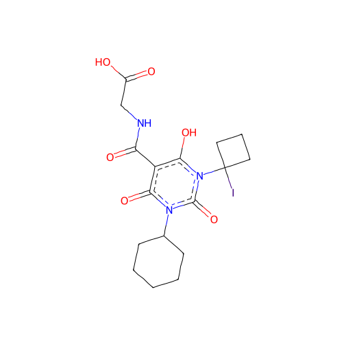 O=C(O)CNC(=O)c1c(O)n(C2(I)CCC2)c(=O)n(C2CCCCC2)c1=O